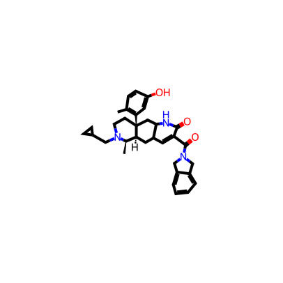 Cc1ccc(O)cc1[C@]12CCN(CC3CC3)[C@H](C)[C@@H]1CC1C=C(C(=O)N3Cc4ccccc4C3)C(=O)NC1C2